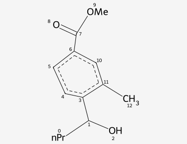 CCCC(O)c1ccc(C(=O)OC)cc1C